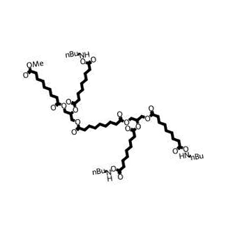 CCCCNOC(=O)CCCCCCCC(=O)OCC(COC(=O)CCCCCCCC(=O)OCC(COC(=O)CCCCCCCC(=O)OC)OC(=O)CCCCCCCC(=O)ONCCCC)OC(=O)CCCCCCCC(=O)ONCCCC